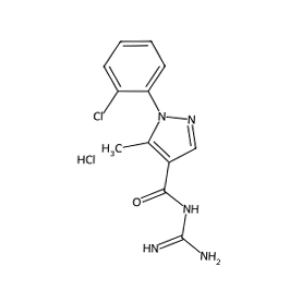 Cc1c(C(=O)NC(=N)N)cnn1-c1ccccc1Cl.Cl